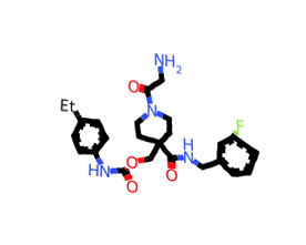 CCc1ccc(NC(=O)OCC2(C(=O)NCc3cccc(F)c3)CCN(C(=O)CN)CC2)cc1